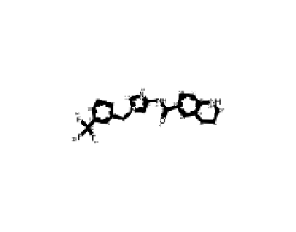 O=C(Nc1cn(Cc2cccc(C(F)(F)F)c2)cn1)c1ccc2c(c1)CCCN2